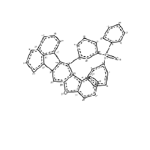 O=P(c1ccccc1)(c1ccccc1)c1cccc(-c2c3c(cc4oc5ccccc5c24)-c2cccc4cccc-3c24)c1